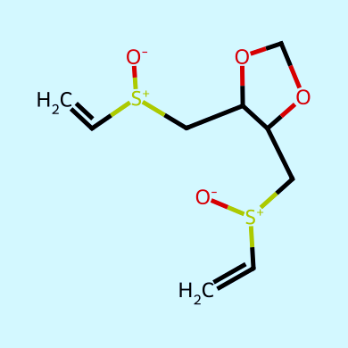 C=C[S+]([O-])CC1OCOC1C[S+]([O-])C=C